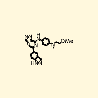 COCCN(C)c1ccc(Nc2nc(-c3ccc4[nH]ncc4c3)cn3cnnc23)cc1